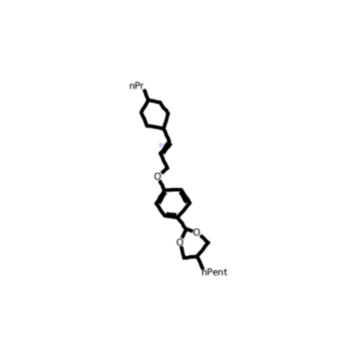 CCCCCC1COC(c2ccc(OC/C=C/C3CCC(CCC)CC3)cc2)OC1